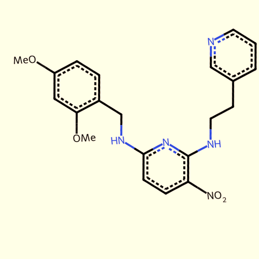 COc1ccc(CNc2ccc([N+](=O)[O-])c(NCCc3cccnc3)n2)c(OC)c1